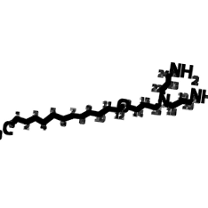 CCCCCCCCCCCCCOCCCN(CCCN)CCCN